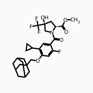 COC(=O)[C@@H]1C[C@@](O)(C(F)(F)F)CN1C(=O)c1cc(C2CC2)c(OCC23CC4CC(CC(C4)C2)C3)cc1F